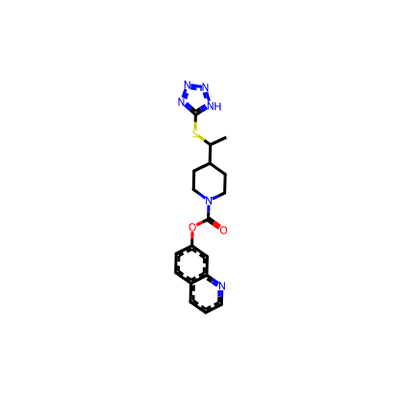 CC(Sc1nnn[nH]1)C1CCN(C(=O)Oc2ccc3cccnc3c2)CC1